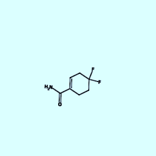 NC(=O)C1=CCC(F)(F)CC1